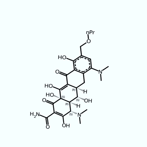 CCCOCc1cc(N(C)C)c2c(c1O)C(=O)C1=C(O)[C@]3(O)C(=O)C(C(N)=O)=C(O)[C@@H](N(C)C)[C@@H]3[C@@H](O)[C@@H]1C2